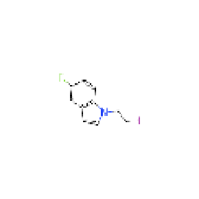 Fc1ccc2c(ccn2CCI)c1